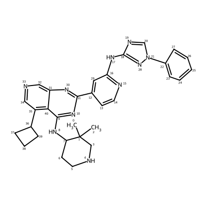 CC1(C)CNCCC1Nc1nc(-c2ccnc(Nc3ncn(-c4ccccc4)n3)c2)nc2cncc(C3CCC3)c12